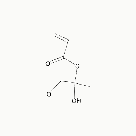 C=CC(=O)OC(C)(O)C[O]